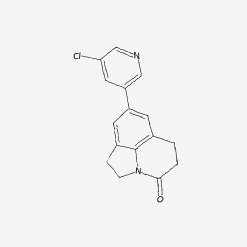 O=C1CCc2cc(-c3cncc(Cl)c3)cc3c2N1CC3